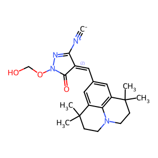 [C-]#[N+]C1=NN(OCO)C(=O)/C1=C\c1cc2c3c(c1)C(C)(C)CCN3CCC2(C)C